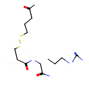 CC(=O)N[C@H](CSSCCCC(=O)C(C)C)C(=O)N[C@H](CCCNC(=N)N)C(N)=O